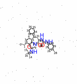 CCc1ccc2c(c1)N(CC(=O)NC(C)(C)C)C(=O)C(NC(=O)Nc1ccc(C)cc1)CC2c1ccccc1